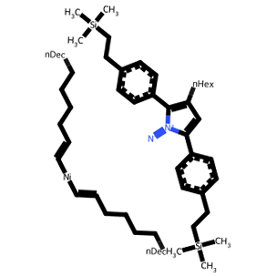 CCCCCCC1=C(c2ccc(CC[Si](C)(C)C)cc2)[N+](=[N-])C(c2ccc(CC[Si](C)(C)C)cc2)=C1.CCCCCCCCCCCCCCC=[CH][Ni][CH]=CCCCCCCCCCCCCCC